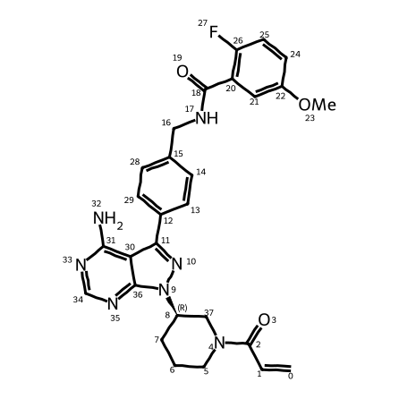 C=CC(=O)N1CCC[C@@H](n2nc(-c3ccc(CNC(=O)c4cc(OC)ccc4F)cc3)c3c(N)ncnc32)C1